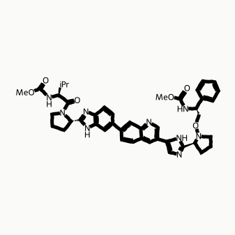 COC(=O)N[C@@H](CON1CCC[C@H]1c1ncc(-c2cnc3cc(-c4ccc5nc([C@@H]6CCCN6C(=O)[C@@H](NC(=O)OC)C(C)C)[nH]c5c4)ccc3c2)[nH]1)c1ccccc1